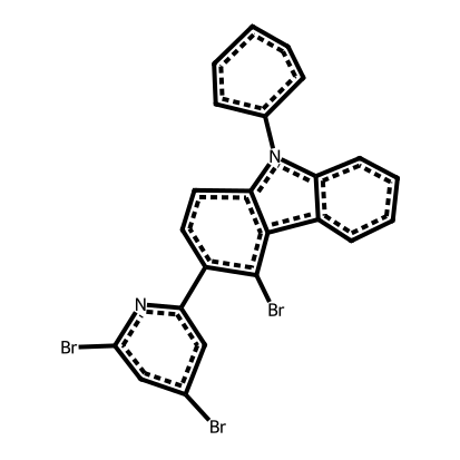 Brc1cc(Br)nc(-c2ccc3c(c2Br)c2ccccc2n3-c2ccccc2)c1